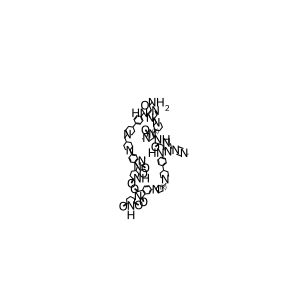 CN1CCN(c2cnc(C(=O)NC3CN(C)C(=O)N3[C@@H]3CCCN(c4cnc(C(N)=O)c(Nc5ccc(C6CCN(CC7CCN(c8ccc9c(c8)n(C)c(=O)n9C8CCC(=O)NC8=O)CC7)CC6)cc5)n4)C3)c(Nc3ccc(C4CCN(C[C@H]5CCN(c6ccc7c(c6)C(=O)N(C6CCC(=O)NC6=O)C7=O)C5)CC4)cc3)n2)CC1